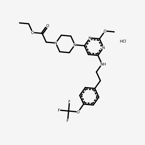 CCOC(=O)CN1CCN(c2cc(NCCc3ccc(OC(F)(F)F)cc3)nc(OC)n2)CC1.Cl